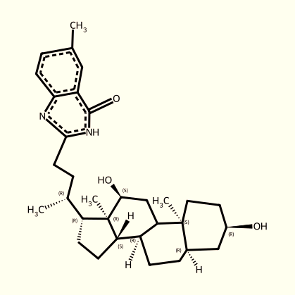 Cc1ccc2nc(CC[C@@H](C)[C@H]3CC[C@H]4[C@@H]5CC[C@@H]6C[C@H](O)CC[C@]6(C)C5C[C@H](O)[C@]34C)[nH]c(=O)c2c1